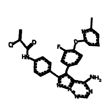 C=C(Cl)C(=O)Nc1ccc(-c2nn3ncnc(N)c3c2-c2ccc(Oc3cccc(C)n3)c(F)c2)cc1